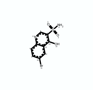 NS(=O)(=O)c1cnc2ccc(Br)cc2c1O